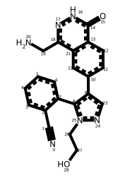 N#Cc1ccccc1-c1c(-c2ccc3c(=O)[nH]nc(CN)c3c2)cnn1CCO